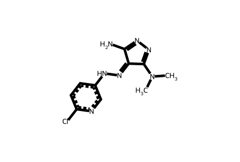 CN(C)C1=NN=C(N)/C1=N\Nc1ccc(Cl)nc1